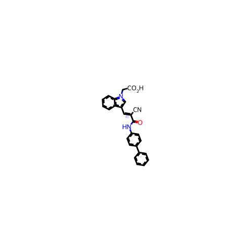 N#C/C(=C\c1cn(CC(=O)O)c2ccccc12)C(=O)Nc1ccc(-c2ccccc2)cc1